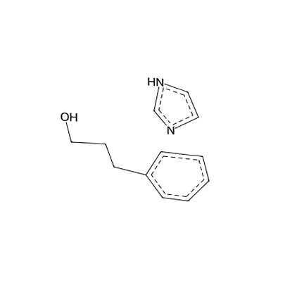 OCCCc1ccccc1.c1c[nH]cn1